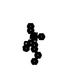 c1ccc(-c2cccc(-c3ccc4c(ccc5c(-c6nc(-c7ccccc7)nc(-c7ccc8ccccc8c7)n6)cc6oc7ccccc7c6c54)c3)c2)cc1